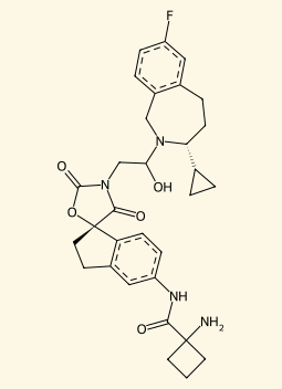 NC1(C(=O)Nc2ccc3c(c2)CC[C@]32OC(=O)N(CC(O)N3Cc4ccc(F)cc4CC[C@@H]3C3CC3)C2=O)CCC1